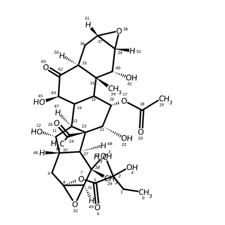 CCC(C)(O)C(=O)O[C@]12C[C@@H]3[C@H](O)[C@H]4C5C([C@H](OC(C)=O)[C@H](O)[C@]4(C(C)=O)[C@H]3[C@](C)(O)[C@H]1O2)[C@]1(C)[C@H](C[C@@H]2O[C@@H]2[C@@H]1O)C(=O)[C@@H]5O